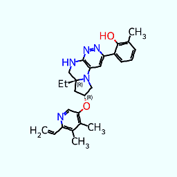 C=Cc1ncc(O[C@H]2CN3c4cc(-c5cccc(C)c5O)nnc4NC[C@@]3(CC)C2)c(C)c1C